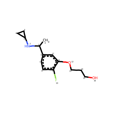 CC(NC1CC1)c1ccc(F)c(OCCCO)c1